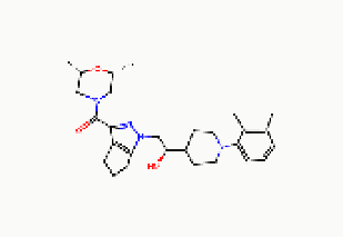 Cc1cccc(N2CCC([C@@H](O)Cn3nc(C(=O)N4C[C@@H](C)O[C@@H](C)C4)c4c3CCC4)CC2)c1C